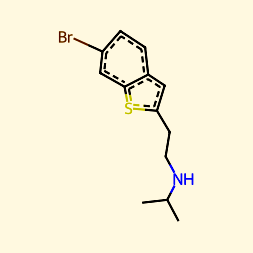 CC(C)NCCc1cc2ccc(Br)cc2s1